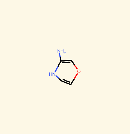 NC1=COC=CN1